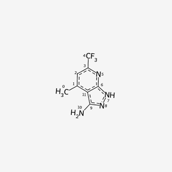 Cc1cc(C(F)(F)F)nc2[nH]nc(N)c12